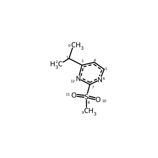 CC(C)c1ccnc(S(C)(=O)=O)n1